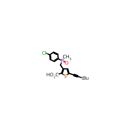 CC(C)(C)C#Cc1cc(CP(C)(=O)c2ccc(Cl)cc2)c(C(=O)O)s1